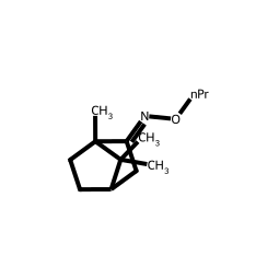 CCCON=C1CC2CCC1(C)C2(C)C